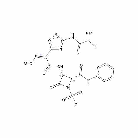 CO/N=C(\C(=O)N[C@H]1C(=O)N(S(=O)(=O)[O-])[C@H]1C(=O)Nc1ccccc1)c1csc(NC(=O)CCl)n1.[Na+]